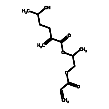 C=CC(=O)OCC(C)OC(=O)C(=C)CCC(C)O